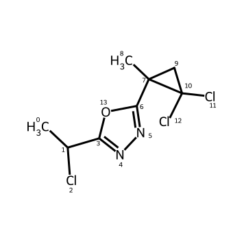 CC(Cl)c1nnc(C2(C)CC2(Cl)Cl)o1